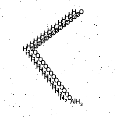 O.O.O.O.O.O.O.O.O.O.O.O.O.O.O.O.O.O.O.O.O.O.O.O.O.O.O.O.O.[AlH3]